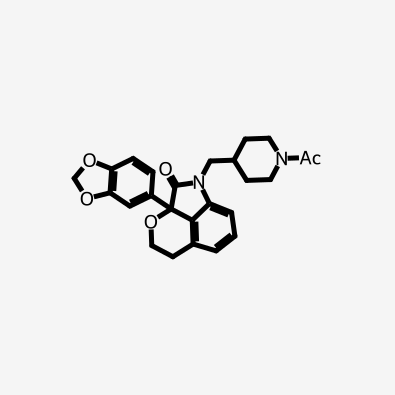 CC(=O)N1CCC(CN2C(=O)C3(c4ccc5c(c4)OCO5)OCCc4cccc2c43)CC1